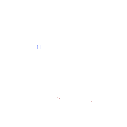 BrC(Br)c1ccc2cccnc2c1